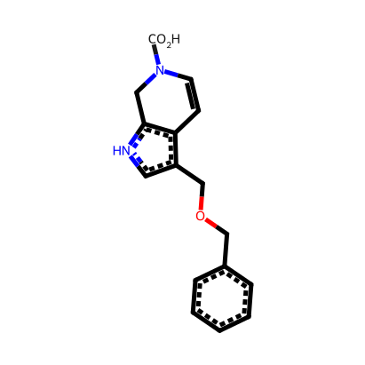 O=C(O)N1C=Cc2c(COCc3ccccc3)c[nH]c2C1